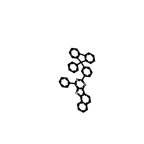 c1ccc(-c2nc(-c3cccc(C4(c5ccccc5)c5ccccc5-c5ccccc54)c3)nc3c2oc2c4ccccc4ccc32)cc1